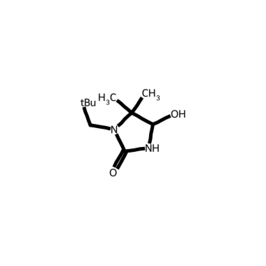 CC(C)(C)CN1C(=O)NC(O)C1(C)C